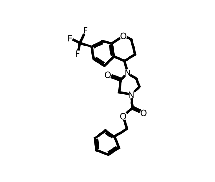 O=C(OCc1ccccc1)N1CCN(C2CCOc3cc(C(F)(F)F)ccc32)C(=O)C1